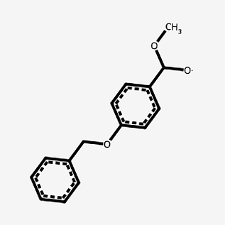 COC([O])c1ccc(OCc2ccccc2)cc1